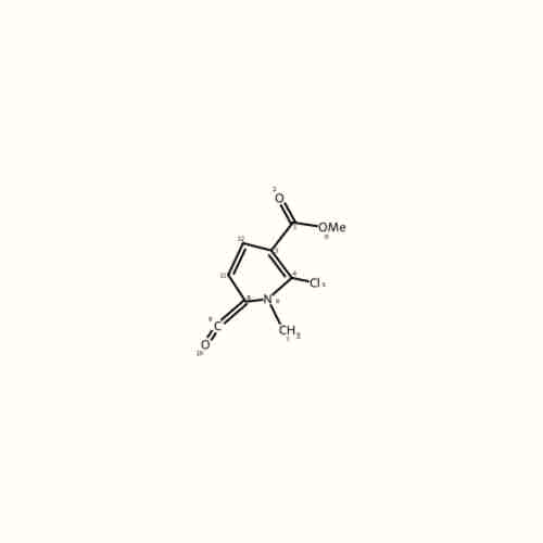 COC(=O)C1=C(Cl)N(C)C(=C=O)C=C1